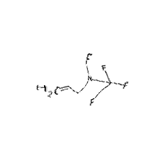 C=CCN(F)C(F)(F)F